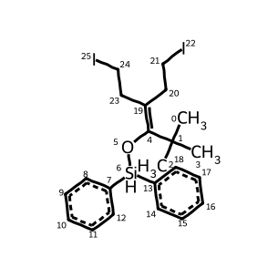 CC(C)(C)C(O[SiH](c1ccccc1)c1ccccc1)=C(CCI)CCI